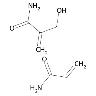 C=C(CO)C(N)=O.C=CC(N)=O